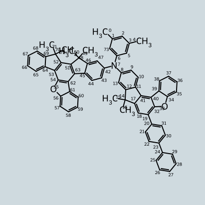 Cc1cc(C)cc(N(c2ccc3c(c2)C(C)(C)c2cc(-c4ccc(-c5ccccc5)cc4)c4oc5ccccc5c4c2-3)c2ccc3c(c2)C(C)(C)c2c4c(c5oc6ccccc6c5c2-3)-c2ccccc2C4(C)C)c1